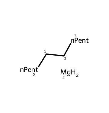 CCCCCCCCCCCC.[MgH2]